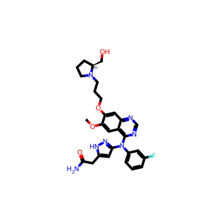 COc1cc2c(N(c3cccc(F)c3)c3cc(CC(N)=O)[nH]n3)ncnc2cc1OCCCN1CCC[C@H]1CO